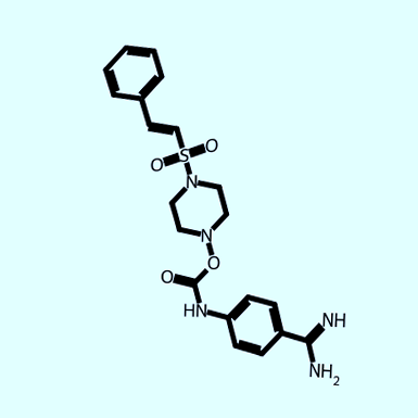 N=C(N)c1ccc(NC(=O)ON2CCN(S(=O)(=O)C=Cc3ccccc3)CC2)cc1